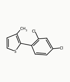 Cc1ccsc1-c1ccc(Cl)cc1Cl